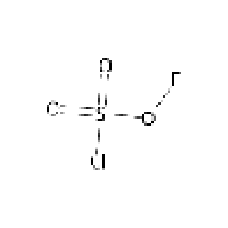 O=S(=O)(Cl)OF